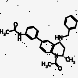 CC(=O)Nc1cccc(-c2ccc3c(c2)[C@H](NCc2ccccc2)C[C@H](C)N3C(C)=O)c1